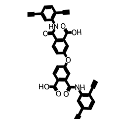 C#Cc1ccc(C#C)c(NC(=O)c2ccc(Oc3ccc(C(=O)O)c(C(=O)Nc4cc(C#C)ccc4C#C)c3)cc2C(=O)O)c1